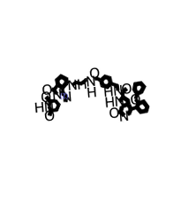 C/N=C1/c2c(NCCCNC(=O)c3ccc(CNC(=O)c4cc5c(-c6ccccc6Oc6ccccc6)cn(C)c(=O)c5[nH]4)cc3)cccc2C(=O)N1C1CCC(=O)NC1=O